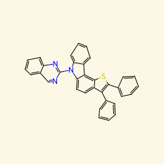 c1ccc(-c2sc3c(ccc4c3c3ccccc3n4-c3ncc4ccccc4n3)c2-c2ccccc2)cc1